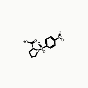 O=C(O)[C@@H]1CCCN1S(=O)(=O)c1ccc([N+](=O)[O-])cc1